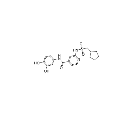 O=C(Nc1ccc(O)c(O)c1)c1ccnc(NS(=O)(=O)CC2CCCC2)c1